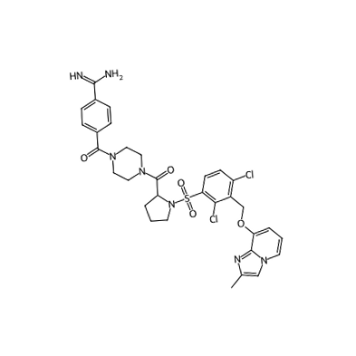 Cc1cn2cccc(OCc3c(Cl)ccc(S(=O)(=O)N4CCCC4C(=O)N4CCN(C(=O)c5ccc(C(=N)N)cc5)CC4)c3Cl)c2n1